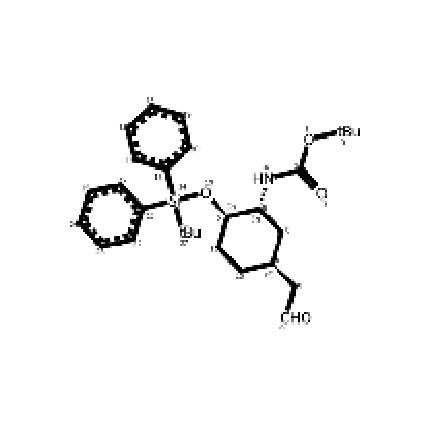 CC(C)(C)OC(=O)N[C@@H]1C[C@@H](CC=O)CC[C@H]1O[Si](c1ccccc1)(c1ccccc1)C(C)(C)C